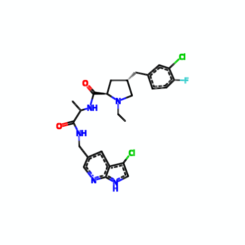 CCN1C[C@@H](Cc2ccc(F)c(Cl)c2)C[C@@H]1C(=O)NC(C)C(=O)NCc1cnc2[nH]cc(Cl)c2c1